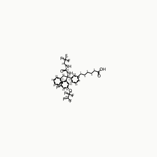 O=C(O)CCCCCc1cccc(C(Cc2ccccc2)(NC(=O)NCC(F)(F)F)c2cc(F)cc(OC(F)(F)C(F)F)c2)c1